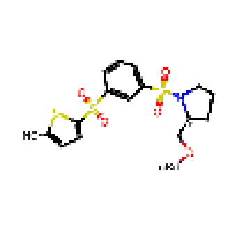 CCCCOC[C@@H]1CCCN1S(=O)(=O)c1cccc(S(=O)(=O)c2ccc(C#N)s2)c1